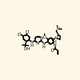 C=CC(=O)Nc1cc(Nc2nccc(Nc3cc(Cl)c(Cl)cc3C(C)(C)O)n2)c(OC)cc1N1CCC1CN(C)C